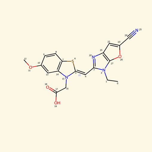 CCn1c(/C=C2\Sc3ccc(OC)cc3N2CC(=O)O)nc2cc(C#N)oc21